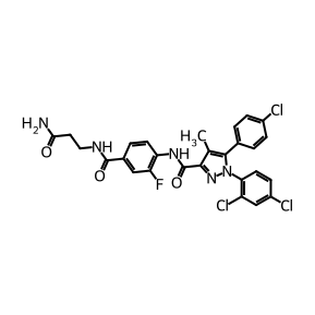 Cc1c(C(=O)Nc2ccc(C(=O)NCCC(N)=O)cc2F)nn(-c2ccc(Cl)cc2Cl)c1-c1ccc(Cl)cc1